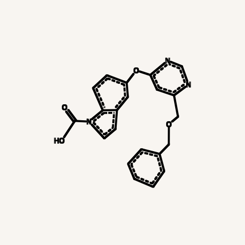 O=C(O)n1ccc2cc(Oc3cc(COCc4ccccc4)ncn3)ccc21